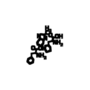 Cc1cnc2ccccc2n1.NC(Cc1ccccc1)C(=O)O.NC(Cc1ccccc1)C(=O)O